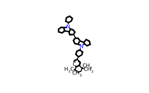 CC1(C)CCC(C)(C)c2cc(-c3ccc(-n4c5ccccc5c5cc(-c6ccc7c(c6)c6ccccc6n7-c6ccccc6)ccc54)cc3)ccc21